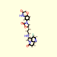 O=C1COc2ccc(N3C[C@@H](CCCN[C@H]4Cn5c(=O)ccc6ncc(F)c4c65)OC3=O)cc2N1